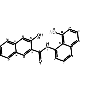 O=C(Nc1cccc2cccc(O)c12)c1cc2ccccc2cc1O